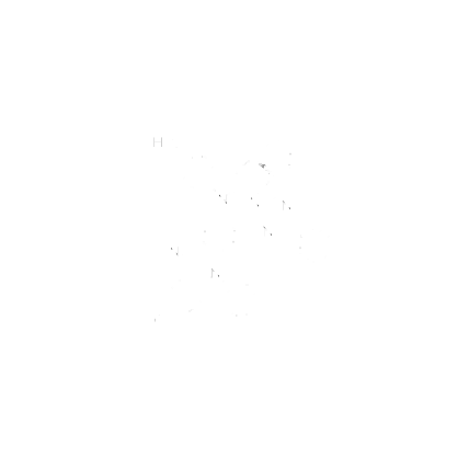 Cc1ccc2c(c1)c1ccccc1n2-c1cc(-c2nc(-c3ccccc3)nc(-c3ccccc3)n2)c(-n2c3ccccc3c3cc(C)ccc32)cc1C#N